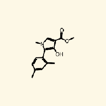 COC(=O)c1cn(C)c(-c2ccc(C)cc2C)c1O